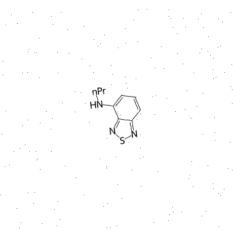 CCCNc1cccc2nsnc12